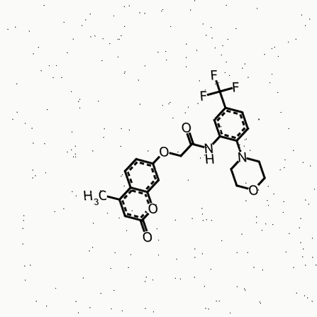 Cc1cc(=O)oc2cc(OCC(=O)Nc3cc(C(F)(F)F)ccc3N3CCOCC3)ccc12